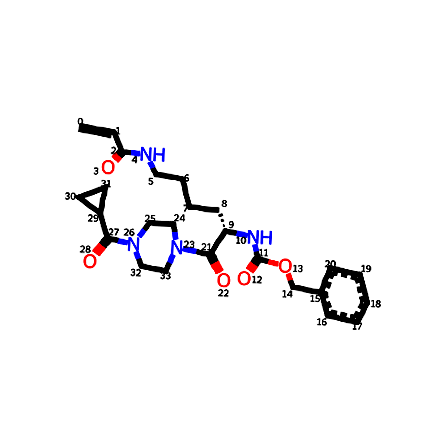 C=CC(=O)NCCCC[C@H](NC(=O)OCc1ccccc1)C(=O)N1CCN(C(=O)C2CC2)CC1